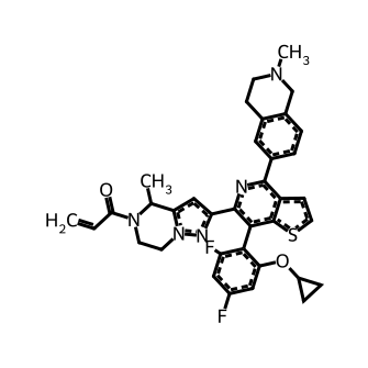 C=CC(=O)N1CCn2nc(-c3nc(-c4ccc5c(c4)CCN(C)C5)c4ccsc4c3-c3c(F)cc(F)cc3OC3CC3)cc2C1C